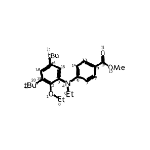 CCOc1c(N(CC)c2ccc(C(=O)OC)cc2)cc(C(C)(C)C)cc1C(C)(C)C